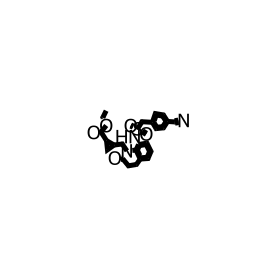 CCOC(=O)C1CC1CN1C(=O)CCc2cccc(NS(=O)(=O)Cc3ccc(C#N)cc3)c21